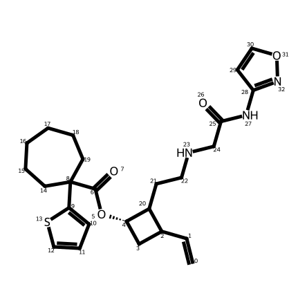 C=CC1C[C@H](OC(=O)C2(c3cccs3)CCCCCC2)C1CCNCC(=O)Nc1ccon1